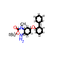 CN(C(=O)OC(C)(C)C)c1cc(Oc2ccccc2-c2ccccc2)ccc1N